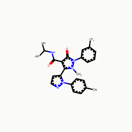 CCCC(CCC)NC(=O)c1c(-c2ccnn2-c2ccc(C#N)cc2)n(C)n(-c2cccc(C(F)(F)F)c2)c1=O